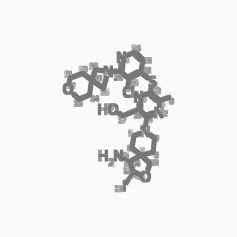 Cc1nc(N2CCC3(CC2)CO[C@@H](I)[C@H]3N)c(CO)nc1Sc1ccnc(N2CC3(CCOCC3)C2)c1Cl